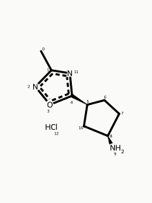 Cc1noc([C@H]2CC[C@@H](N)C2)n1.Cl